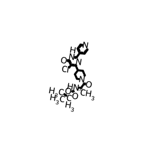 C[C@H](NC(=O)OC(C)(C)C)C(=O)N1CCC(c2nc(-c3ccncc3)[nH]c(=O)c2Cl)CC1